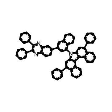 c1ccc(-c2nc3ccc(-c4cc(-n5c6cc(-c7ccccc7)c7ccccc7c6c6c7ccccc7c(-c7ccccc7)cc65)c5ccccc5c4)cc3nc2-c2ccccc2)cc1